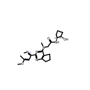 C/N=C(\C=C(/C)OC)c1nc2c(c(N(C)CC(=O)N[C@H]3CCC[C@H]3O)n1)CCC2